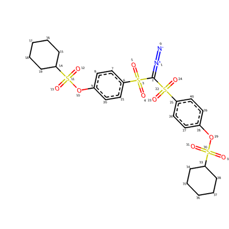 [N-]=[N+]=C(S(=O)(=O)c1ccc(OS(=O)(=O)C2CCCCC2)cc1)S(=O)(=O)c1ccc(OS(=O)(=O)C2CCCCC2)cc1